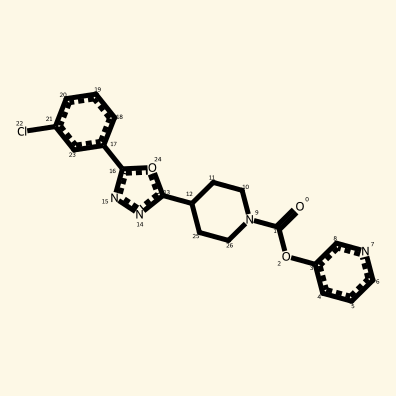 O=C(Oc1cccnc1)N1CCC(c2nnc(-c3cccc(Cl)c3)o2)CC1